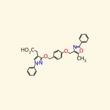 Cc1oc(-c2ccccc2)nc1COc1ccc(COc2nn(-c3ccccc3)cc2CC(=O)O)cc1